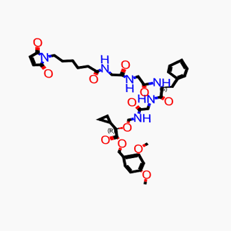 COc1ccc(COC(=O)[C@H](OCNC(=O)CNC(=O)[C@H](Cc2ccccc2)NC(=O)CNC(=O)CNC(=O)CCCCCN2C(=O)C=CC2=O)C2CC2)c(OC)c1